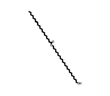 CCCCCCC=CCCCCCCCCCCCC(=O)OCCCCCCCCCCCCCCCCCCCCCCO